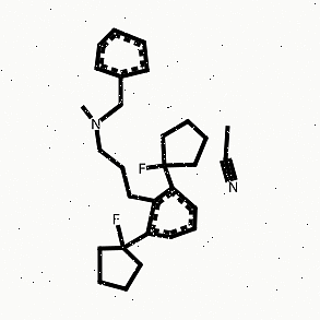 CC#N.CN(CCCc1c(C2(F)CCCC2)cccc1C1(F)CCCC1)Cc1ccccc1